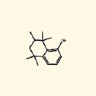 CC1CC(C)(C)c2cccc(O)c2C1(C)C